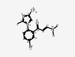 Cc1nc(C(F)(F)F)cn1-c1ccc(Br)cc1C(=O)C=CN(C)C